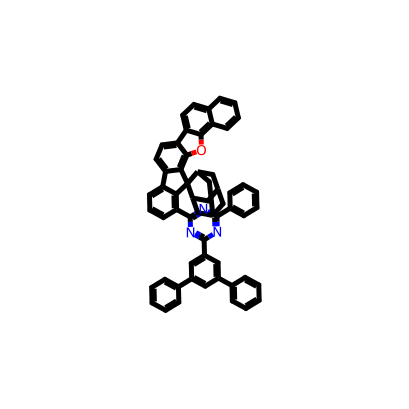 c1ccc(-c2cc(-c3ccccc3)cc(-c3nc(-c4ccccc4)nc(-c4cccc5c4C4(c6c-5ccc5c6oc6c7ccccc7ccc56)C5CC6CC(C5)CC4C6)n3)c2)cc1